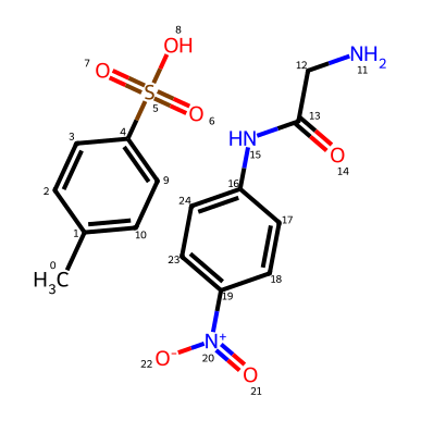 Cc1ccc(S(=O)(=O)O)cc1.NCC(=O)Nc1ccc([N+](=O)[O-])cc1